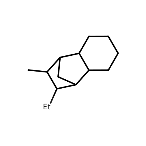 CCC1C(C)C2CC1C1CCCCC21